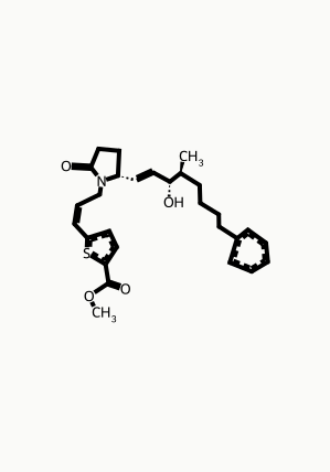 COC(=O)c1ccc(/C=C\CN2C(=O)CC[C@@H]2/C=C/[C@@H](O)[C@@H](C)CCCCc2ccccc2)s1